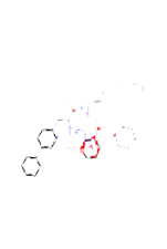 CCOC(=O)CCNC(=O)C(Cc1ccc(-c2ccccc2)cc1)NCP(=O)(O)OCC1(OC(=O)c2ccccc2)CCCCC1